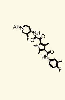 CC(=O)N1CC[C@@H](NC(=O)C(=O)c2c(C)c(C(=O)Nc3ccc(F)c(C)c3)c(C)n2C)[C@H](F)C1